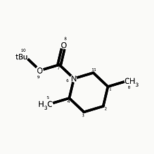 CC1CCC(C)N(C(=O)OC(C)(C)C)C1